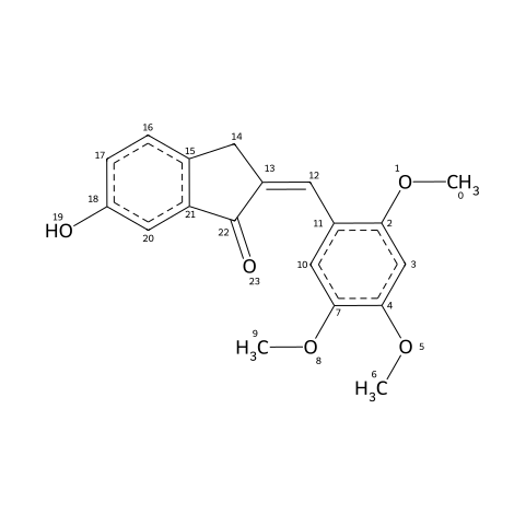 COc1cc(OC)c(OC)cc1C=C1Cc2ccc(O)cc2C1=O